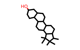 CC1C2CCC3C4CCC5CC(O)CCC5C4CCC3C2C(C)(C)C1(C)C